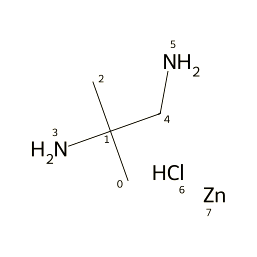 CC(C)(N)CN.Cl.[Zn]